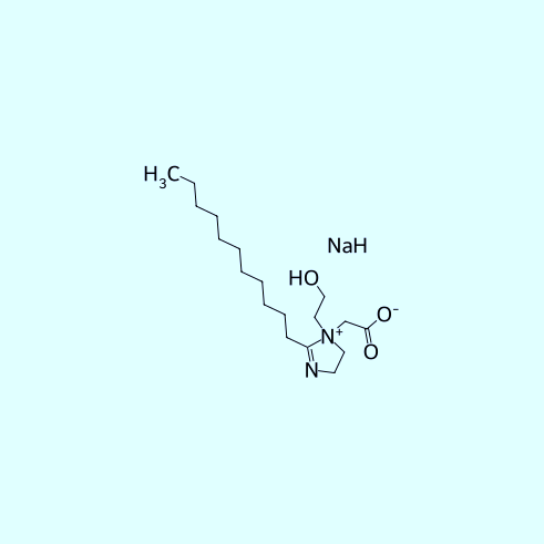 CCCCCCCCCCCC1=NCC[N+]1(CCO)CC(=O)[O-].[NaH]